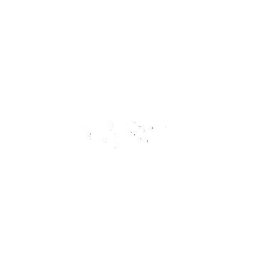 COCCOC(=O)NC(C)C(CN[C@]12CC[C@@H](C3(C)CC3)[C@@H]1[C@H]1CC[C@@H]3[C@@]4(C)CC[C@H](OC(=O)[C@H]5C[C@@H](C(=O)O)C5(C)C)C(C)(C)[C@@H]4CC[C@@]3(C)[C@]1(C)CC2)N1CCS(=O)(=O)CC1